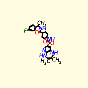 C[C@@H](NC(=O)C1CCC(NS(=O)(=O)c2cnc3c(c2)NCC(C)(C)CN3)CC1)c1ccc(F)cc1